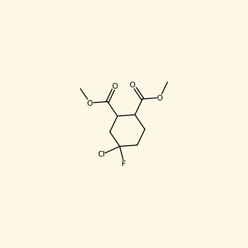 COC(=O)C1CCC(F)(Cl)CC1C(=O)OC